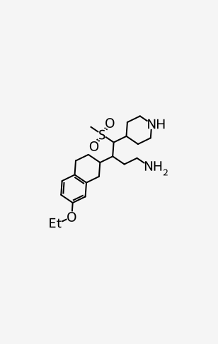 CCOc1ccc2c(c1)CC(C(CCN)C(C1CCNCC1)S(C)(=O)=O)CC2